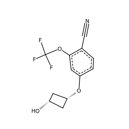 N#Cc1ccc(O[C@H]2C[C@@H](O)C2)cc1OC(F)(F)F